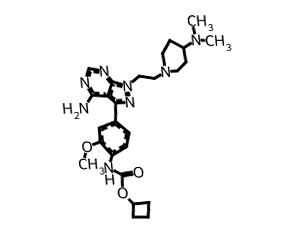 COc1cc(-c2nn(CCN3CCC(N(C)C)CC3)c3ncnc(N)c23)ccc1NC(=O)OC1CCC1